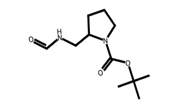 CC(C)(C)OC(=O)N1CCCC1CNC=O